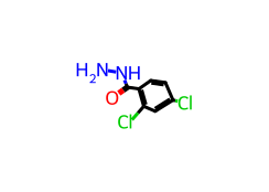 NNC(=O)c1ccc(Cl)cc1Cl